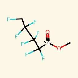 C[O][Sn](=[O])[C](F)(F)C(F)(F)C(F)(F)CF